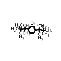 CC(C)(C)C(C)(C)c1ccc(C(C)(C)C(C)(C)C)cc1.O